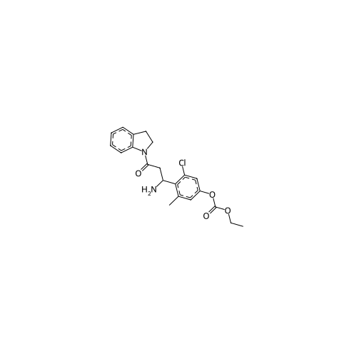 CCOC(=O)Oc1cc(C)c(C(N)CC(=O)N2CCc3ccccc32)c(Cl)c1